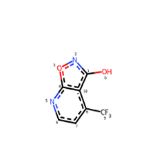 Oc1noc2nccc(C(F)(F)F)c12